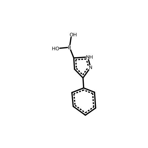 OB(O)c1cc(-c2ccccc2)n[nH]1